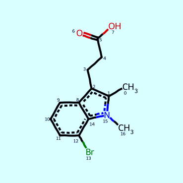 Cc1c(CCC(=O)O)c2cccc(Br)c2n1C